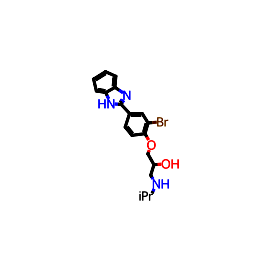 CC(C)NCC(O)COc1ccc(-c2nc3ccccc3[nH]2)cc1Br